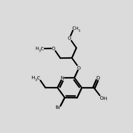 CCc1nc(OC(COC)COC)c(C(=O)O)cc1Br